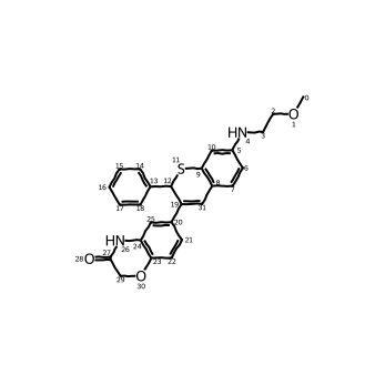 COCCNc1ccc2c(c1)SC(c1ccccc1)C(c1ccc3c(c1)NC(=O)CO3)=C2